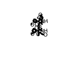 COC1=C(C=C=O)NC(C)=C(C(=O)OC(=O)C2=C(C)NC(C=C=O)=C(OC)C2c2cccc(OC)c2)C1c1cccc(OC)c1